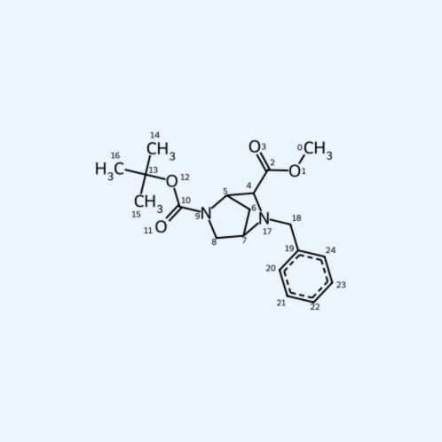 COC(=O)C1C2CC(CN2C(=O)OC(C)(C)C)N1Cc1ccccc1